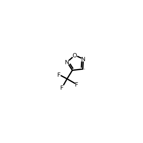 FC(F)(F)c1[c]non1